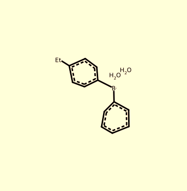 CCc1ccc([B]c2ccccc2)cc1.O.O